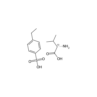 CC(C)[C@H](N)C(=O)O.CCc1ccc(S(=O)(=O)O)cc1